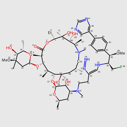 CC[C@H]1OC(=O)[C@H](C)[C@@H](O[C@H]2C[C@@](C)(OC)[C@@H](O)[C@H](C)O2)[C@H](C)[C@@H](O[C@@H]2O[C@H](C)C[C@H](N(C)CC/C(=C/N[C@H](CF)[C@H](OC)c3ccc(-c4cncnc4)cc3)N=N)[C@H]2O)[C@](C)(O)C[C@@H](C)CN(C)[C@H](C)[C@@H](O)[C@]1(C)O